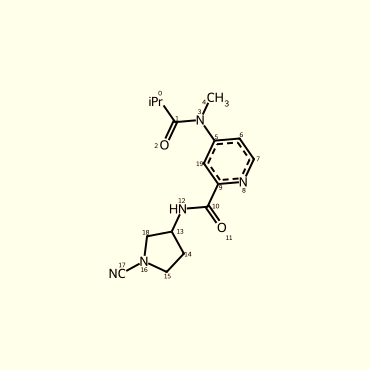 CC(C)C(=O)N(C)c1ccnc(C(=O)NC2CCN(C#N)C2)c1